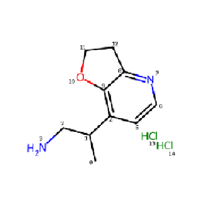 CC(CN)c1ccnc2c1OCC2.Cl.Cl